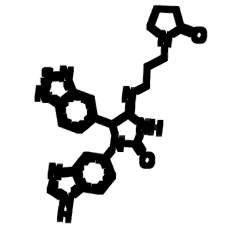 O=C1CCCN1CCCN=C1NC(=O)N(c2ccc3[nH]cnc3c2)C1c1ccc2nsnc2c1